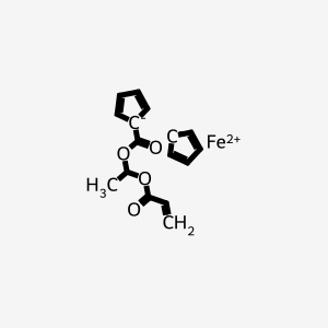 C=CC(=O)OC(C)OC(=O)[c-]1cccc1.[Fe+2].c1cc[cH-]c1